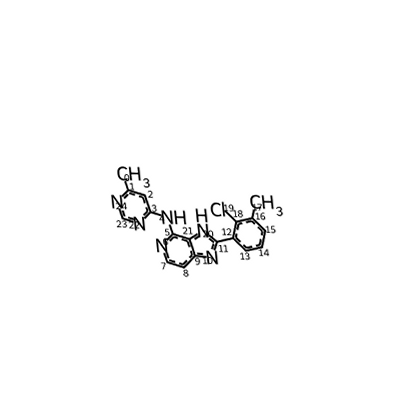 Cc1cc(Nc2nccc3nc(-c4cccc(C)c4Cl)[nH]c23)ncn1